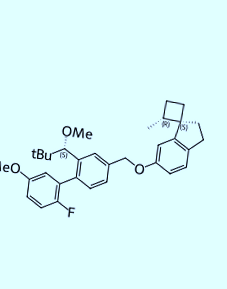 COc1ccc(F)c(-c2ccc(COc3ccc4c(c3)[C@]3(CC4)CC[C@H]3C)cc2[C@@H](OC)C(C)(C)C)c1